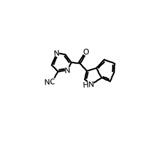 N#Cc1cncc(C(=O)c2c[nH]c3ccccc23)n1